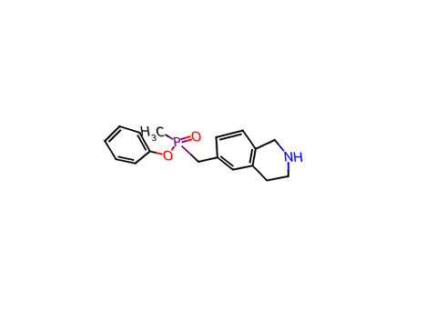 CP(=O)(Cc1ccc2c(c1)CCNC2)Oc1ccccc1